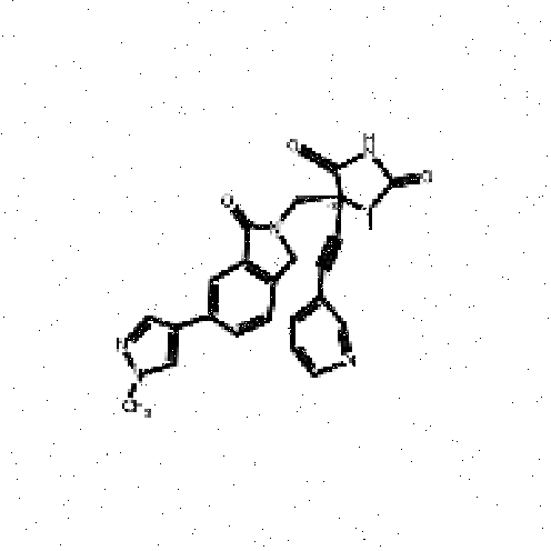 Cn1cc(-c2ccc3c(c2)C(=O)N(C[C@]2(C#Cc4cccnc4)NC(=O)NC2=O)C3)cn1